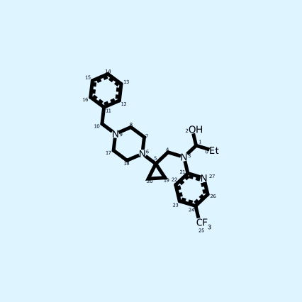 CCC(O)N(CC1(N2CCN(Cc3ccccc3)CC2)CC1)c1ccc(C(F)(F)F)cn1